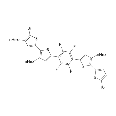 CCCCCCc1cc(-c2sc(-c3c(F)c(F)c(-c4cc(CCCCCC)c(-c5ccc(Br)s5)s4)c(F)c3F)cc2CCCCCC)sc1Br